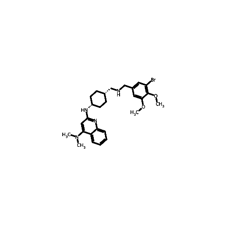 COc1cc(CNC[C@H]2CC[C@@H](Nc3cc(N(C)C)c4ccccc4n3)CC2)cc(Br)c1OC